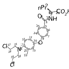 CCC[C@H](NC(=O)c1ccc(Oc2ccc(N(CCCl)CCCl)c(C)c2)cc1)C(=O)O